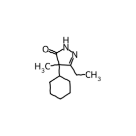 CCC1=NNC(=O)C1(C)C1CCCCC1